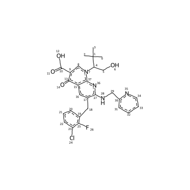 CC(C)(C)C(CO)n1cc(C(=O)O)c(=O)c2cc(Cc3cccc(Cl)c3F)c(NCc3ccccn3)nc21